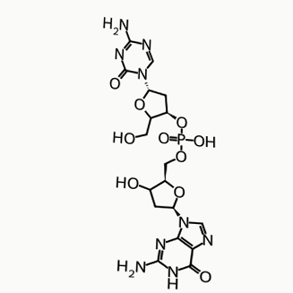 Nc1ncn([C@@H]2C[C@@H](OP(=O)(O)OC[C@H]3O[C@@H](n4cnc5c(=O)[nH]c(N)nc54)CC3O)C(CO)O2)c(=O)n1